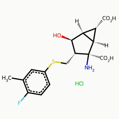 Cc1cc(SC[C@@H]2[C@@H](O)[C@H]3[C@H](C(=O)O)[C@H]3[C@]2(N)C(=O)O)ccc1F.Cl